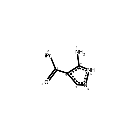 CC(C)C(=O)c1cn[nH]c1N